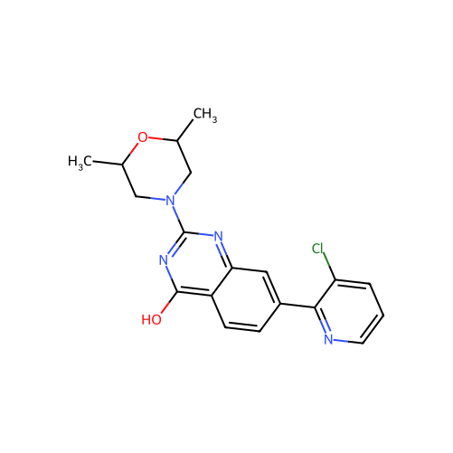 CC1CN(c2nc(O)c3ccc(-c4ncccc4Cl)cc3n2)CC(C)O1